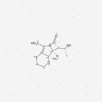 C[C@@H](O)[C@H]1C(=O)N2C(C(=O)O)=C3SCCO[C@@H]3[C@H]12